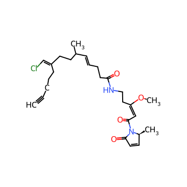 C#CCCC/C(=C\Cl)CCC(C)/C=C/CCC(=O)NCC/C(=C\C(=O)N1C(=O)C=C[C@@H]1C)OC